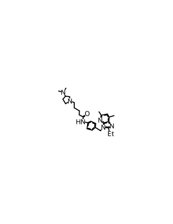 CCc1nc2c(C)cc(C)nc2n1Cc1ccc(NC(=O)CCCCN2CCC(N(C)C)C2)cc1